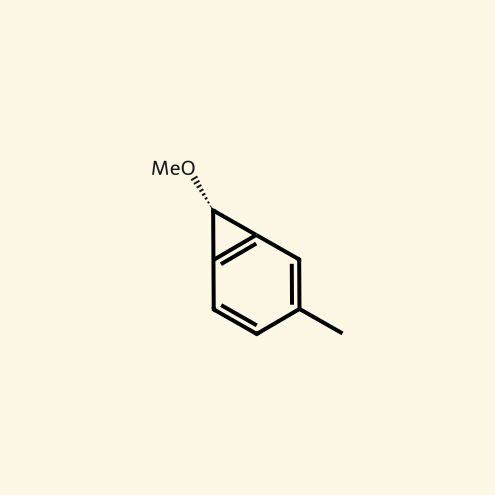 CO[C@H]1c2ccc(C)cc21